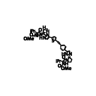 COC(=O)N[C@H](C(=O)N[C@@H](C)c1ncc(-c2ccc(C#Cc3ccc(-c4cnc([C@@H]5CCCN5C(=O)[C@@H](NC(=O)OC)C(C)C)[nH]4)cc3)s2)[nH]1)C(C)C